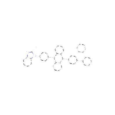 CCc1nc2ccccc2n1-c1ccc(-c2c3ccccc3c(-c3ccc(-c4ccccc4-c4ccccc4)cc3)c3ccccc23)cc1